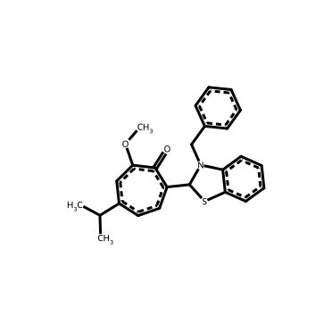 COc1cc(C(C)C)ccc(C2Sc3ccccc3N2Cc2ccccc2)c1=O